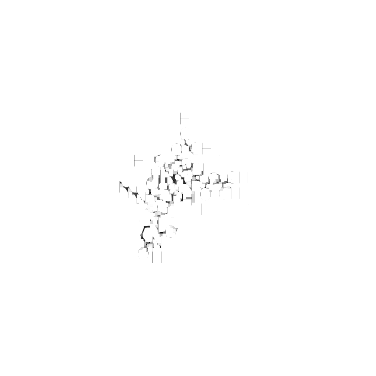 C=C(N=[N+]=[N-])[C@]1(COP(=O)(N[C@@H](C)C(=O)OC(C)C)N[C@@H](C)C(O)OC(C)C)O[C@@H](n2ccc(=O)[nH]c2=O)C[C@@H]1O